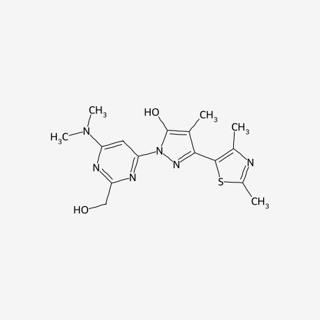 Cc1nc(C)c(-c2nn(-c3cc(N(C)C)nc(CO)n3)c(O)c2C)s1